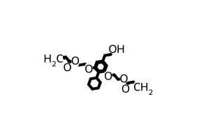 C=CC(=O)OCCOc1cc(CCO)cc(OCCOC(=O)C=C)c1C1CCCCC1